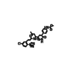 COC(=O)Nc1ccc(-c2cc(C(CSC)NC(=O)/C=C/c3cc(Cl)ccc3-n3cnnn3)n[nH]c2=O)cc1